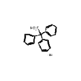 O=C(O)C(c1ccccc1)(c1ccccc1)c1ccccc1.[LiH]